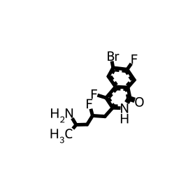 CC(N)CC(F)Cc1[nH]c(=O)c2cc(F)c(Br)cc2c1F